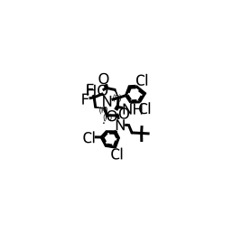 C[C@@H](C(=O)N(CCC(C)(C)C)c1cc(Cl)cc(Cl)c1)[C@H]1CC(F)(F)CN1[C@@]1(CC(=O)O)C(=O)Nc2c(Cl)cc(Cl)cc21